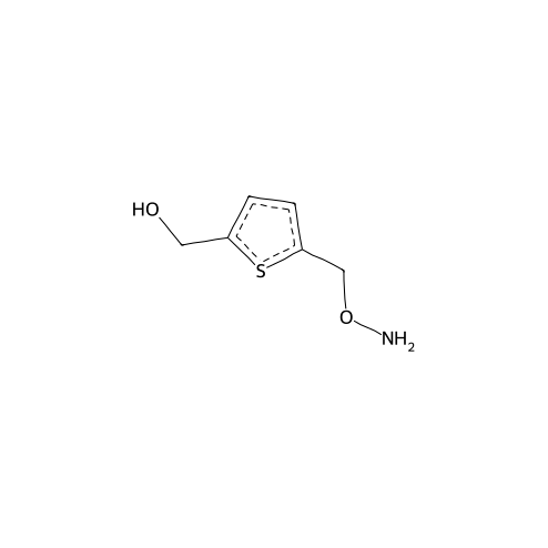 NOCc1ccc(CO)s1